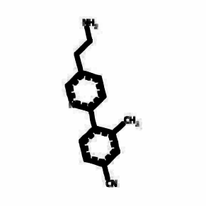 Cc1cc(C#N)ccc1-c1ccc(CCN)cn1